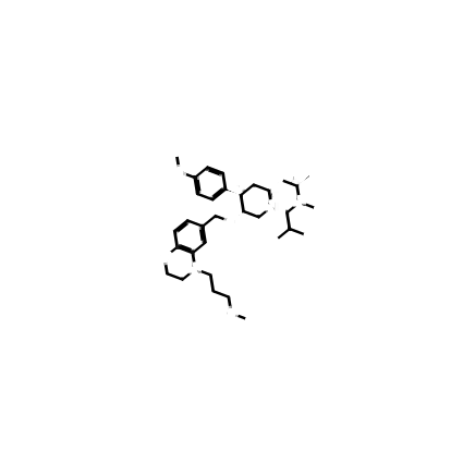 COCCCN1CCOc2ccc(CO[C@H]3CN[C@@H](C[C@@H](C)N(C)CC(C)C)C[C@@H]3c3ccc(OC)cc3)cc21